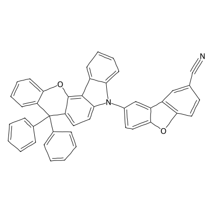 N#Cc1ccc2oc3ccc(-n4c5ccccc5c5c6c(ccc54)C(c4ccccc4)(c4ccccc4)c4ccccc4O6)cc3c2c1